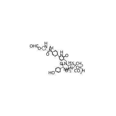 CC(=O)N(C(=O)[C@@H]1CC(OC=O)CN1)c1ccc(-c2ccc(CN(C(=O)C(N)c3ccc(O)cc3)[C@@H]3C(=O)N4[C@@H]3SC(C)(C)[C@@H]4C(=O)O)c(=O)[nH]2)cc1